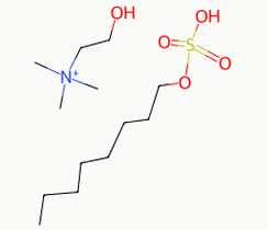 CCCCCCCCOS(=O)(=O)O.C[N+](C)(C)CCO